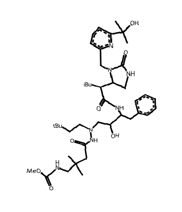 CCC(C)C(C(=O)NC(Cc1ccccc1)C(O)CN(CCC(C)(C)C)NC(=O)CC(C)(C)CNC(=O)OC)C1CNC(=O)N1Cc1cccc(C(C)(C)O)n1